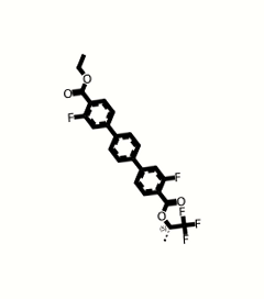 CCOC(=O)c1ccc(-c2ccc(-c3ccc(C(=O)O[C@@H](C)C(F)(F)F)c(F)c3)cc2)cc1F